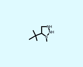 CN1NNCC1C(C)(C)C